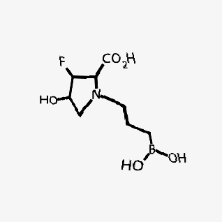 O=C(O)C1C(F)C(O)CN1CCCB(O)O